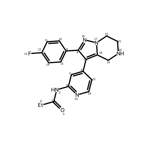 CCC(=O)Nc1cc(-c2c(-c3ccc(F)cc3)nn3c2CNCC3)ccn1